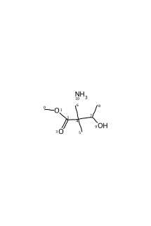 COC(=O)C(C)(C)C(C)O.N